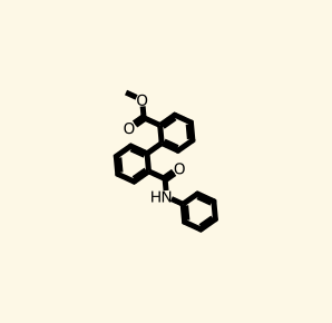 COC(=O)c1ccccc1-c1ccccc1C(=O)Nc1ccccc1